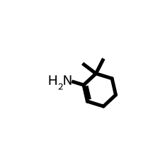 CC1(C)CCCC=C1N